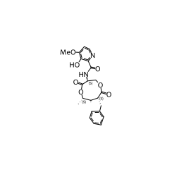 COc1ccnc(C(=O)N[C@H]2COC(=O)[C@H](Cc3ccccc3)[CH][C@H](C)OC2=O)c1O